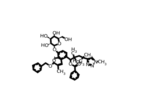 C/C(=C/c1c(C(OC(=O)c2ccccc2)C(C)(C)CC(C)(C)c2cn(C)nn2)ccc(O[C@@H]2O[C@H](CO)[C@H](O)[C@H](O)[C@H]2O)c1I)C(=O)OCc1ccccc1